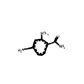 NC(=O)c1ccc(N)cc1[N+](=O)[O-]